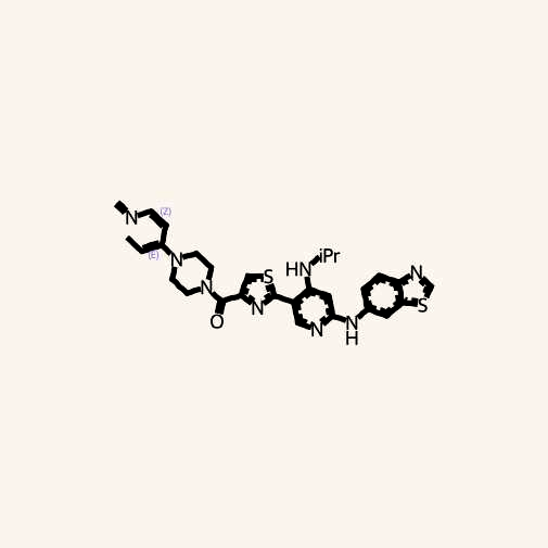 C=N/C=C\C(=C/C)N1CCN(C(=O)c2csc(-c3cnc(Nc4ccc5ncsc5c4)cc3NC(C)C)n2)CC1